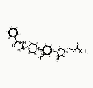 CC(=S)NC[C@H]1CN(c2ccc(N3CCN(C(=S)NC(=O)c4ccccc4)CC3)c(F)c2)C(=O)O1